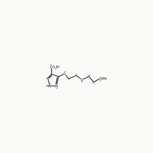 CCOC(=O)c1c[nH]nc1OCCOCCOC